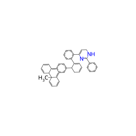 CC12C=CC=CC1=c1cc(C3CC=CC=C3c3ccccc3C3=CCNC(c4ccccc4)=N3)ccc1=C1C=CC=CC12